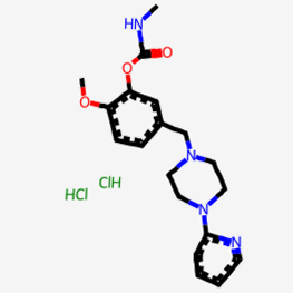 CNC(=O)Oc1cc(CN2CCN(c3ccccn3)CC2)ccc1OC.Cl.Cl